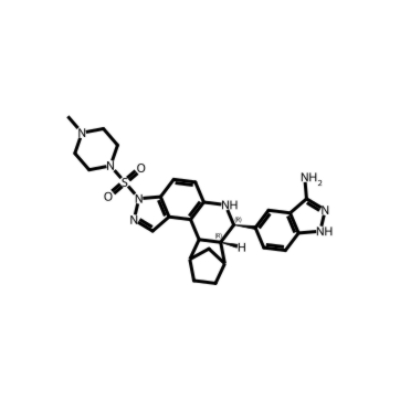 CN1CCN(S(=O)(=O)n2ncc3c4c(ccc32)N[C@@H](c2ccc3[nH]nc(N)c3c2)[C@@H]2C3CCC(C3)C42)CC1